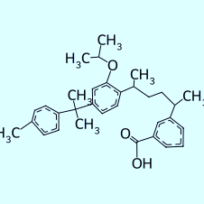 Cc1ccc(C(C)(C)c2ccc(C(C)CCC(C)c3cccc(C(=O)O)c3)c(OC(C)C)c2)cc1